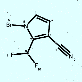 N#Cc1ccn(Br)c1C(F)F